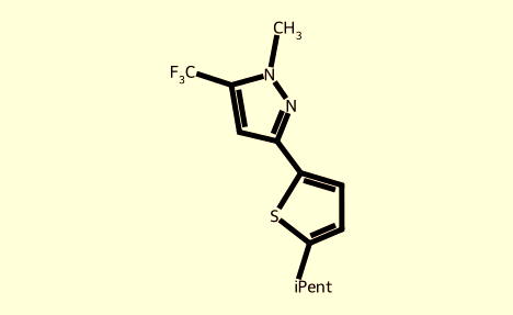 CCCC(C)c1ccc(-c2cc(C(F)(F)F)n(C)n2)s1